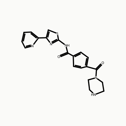 O=C(Nc1nc(-c2ccccn2)cs1)c1ccc(C(=O)N2CCNCC2)cc1